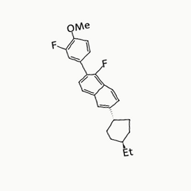 CC[C@H]1CC[C@H](c2ccc3c(F)c(-c4ccc(OC)c(F)c4)ccc3c2)CC1